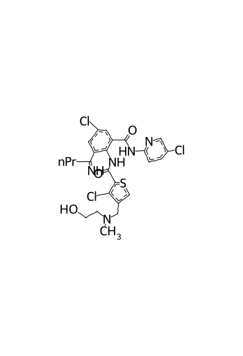 CCCC(=N)c1cc(Cl)cc(C(=O)Nc2ccc(Cl)cn2)c1NC(=O)c1scc(CN(C)CCO)c1Cl